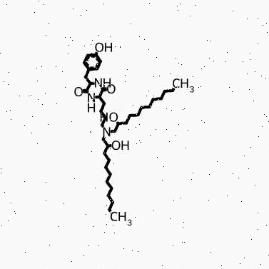 CCCCCCCCCCC(O)CN(CCCCC1NC(=O)C(Cc2ccc(O)cc2)NC1=O)CC(O)CCCCCCCCCC